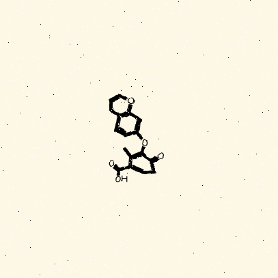 CC1=C(Oc2ccc3c(c2)OC=CC3)C(=O)CC=C1C(=O)O